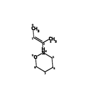 CC=C(C)[SiH]1CCCCO1